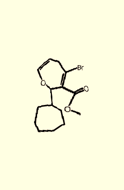 COC(=O)C1=C(Br)CC=COC1C1CCCCCC1